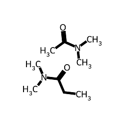 CC(=O)N(C)C.CCC(=O)N(C)C